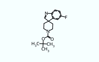 CC(C)(C)OC(=O)N1CCC2(C=Nc3ccc(F)cc32)CC1